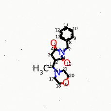 C[C@@H](C1CC(=O)N(Cc2ccccc2)C1=O)N1CCOCC1